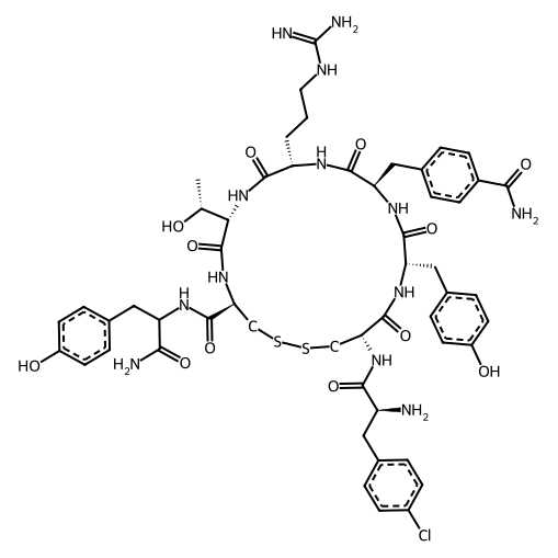 C[C@@H](O)[C@@H]1NC(=O)[C@H](CCCNC(=N)N)NC(=O)[C@@H](Cc2ccc(C(N)=O)cc2)NC(=O)[C@H](Cc2ccc(O)cc2)NC(=O)[C@H](NC(=O)[C@@H](N)Cc2ccc(Cl)cc2)CSSC[C@@H](C(=O)NC(Cc2ccc(O)cc2)C(N)=O)NC1=O